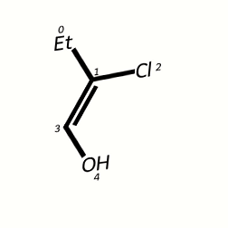 CCC(Cl)=CO